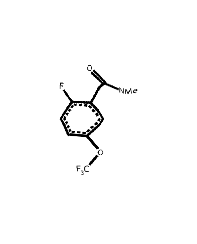 [CH2-][NH2+]C(=O)c1cc(OC(F)(F)F)ccc1F